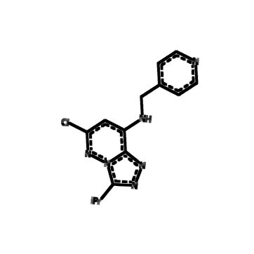 CC(C)c1nnc2c(NCc3ccncc3)cc(Cl)nn12